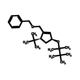 CC(C)(C)[C@H]1C[C@H](O[Si](C)(C)C(C)(C)C)C=C1COCc1ccccc1